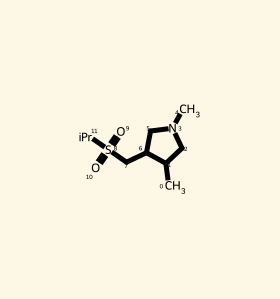 CC1CN(C)CC1CS(=O)(=O)C(C)C